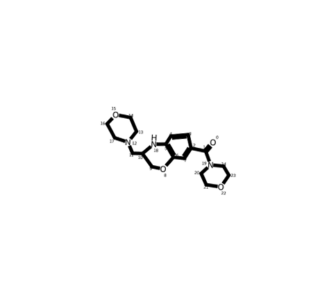 O=C(c1ccc2c(c1)OCC(CN1CCOCC1)N2)N1CCOCC1